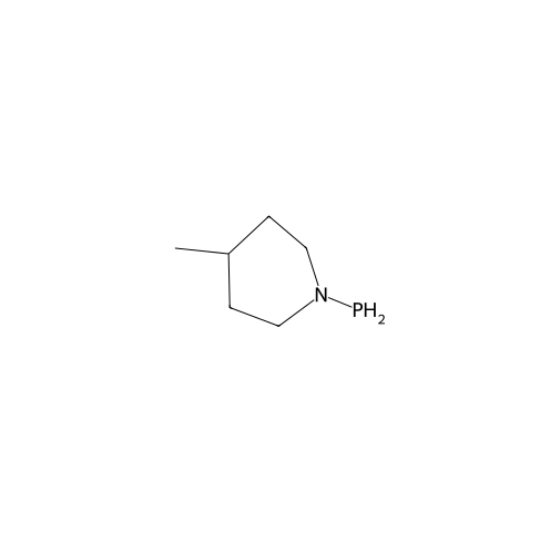 CC1CCN(P)CC1